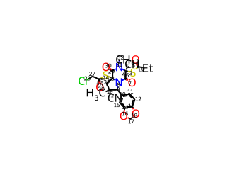 CCC(=O)S[C@@]1(C)C(=O)N2C(c3ccc4c(c3)OCO4)[C@@](C)(C#N)C[C@]2(SC(=O)CCl)C(=O)N1C